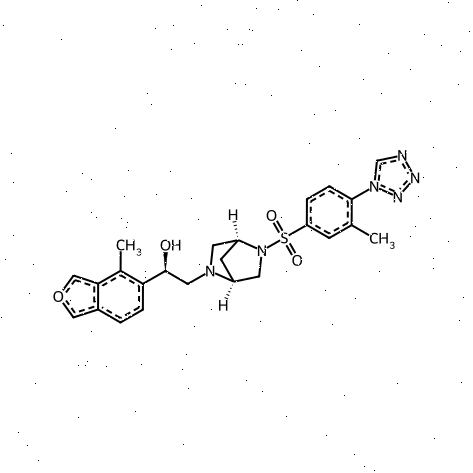 Cc1cc(S(=O)(=O)N2C[C@@H]3C[C@H]2CN3C[C@H](O)c2ccc3cocc3c2C)ccc1-n1cnnn1